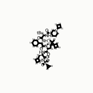 CC(C)(C)[C@H](NC(=O)[C@@H]1CCCN(C2CCC2)C1)C(=O)N[C@H](C(=O)N1C[C@]2(C[C@H]1C(=O)N[C@H](CC1CCC1)C(=O)NS(=O)(=O)C1CC1)C(C)(C)C21CCC1)C1CCCCC1